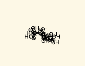 O=C(O)C1=C/C(=C/C=[N+]2/c3cc(O)c(O[C@H]4OC(CO)[C@@H](O)[C@@H](O)C4O)cc3C[C@@H]2C(=O)[O-])C[C@H](C(=O)O)N1